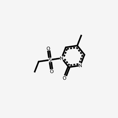 CCS(=O)(=O)n1cc(C)cnc1=O